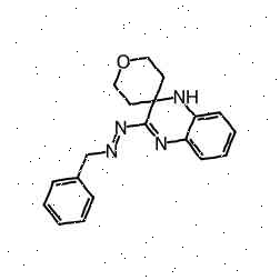 c1ccc(CN=NC2=Nc3ccccc3NC23CCOCC3)cc1